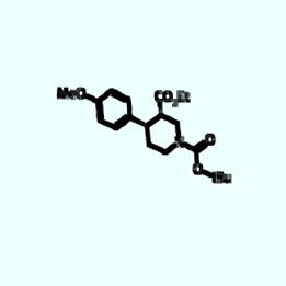 CCOC(=O)[C@H]1CN(C(=O)OC(C)(C)C)CC[C@H]1c1ccc(OC)cc1